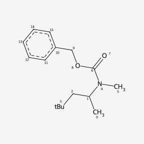 CC(CC(C)(C)C)N(C)C(=O)OCc1ccccc1